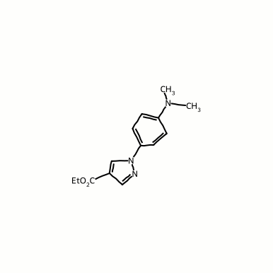 CCOC(=O)c1cnn(-c2ccc(N(C)C)cc2)c1